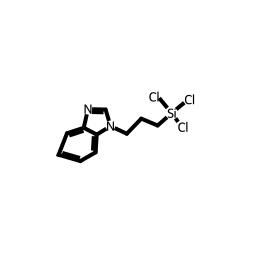 Cl[Si](Cl)(Cl)CCCn1cnc2ccccc21